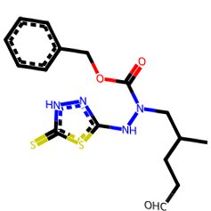 CC(CCC=O)CN(Nc1n[nH]c(=S)s1)C(=O)OCc1ccccc1